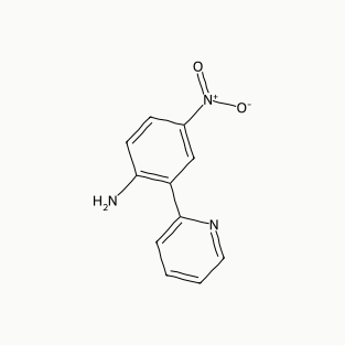 Nc1ccc([N+](=O)[O-])cc1-c1ccccn1